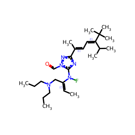 C/C=C(/CN(CCC)CCC)N(F)c1nc(/C(C)=C/C=C(\C(C)C)C(C)(C)C)nn1C=O